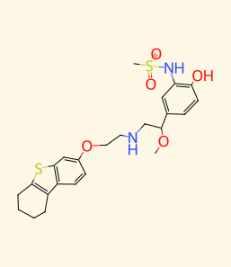 COC(CNCCOc1ccc2c3c(sc2c1)CCCC3)c1ccc(O)c(NS(C)(=O)=O)c1